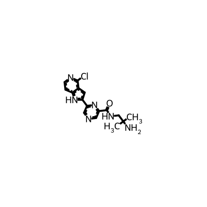 CC(C)(N)CNC(=O)c1cncc(-c2cc3c(Cl)nccc3[nH]2)n1